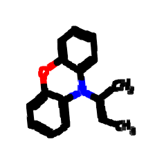 C/C=C(\C)N1c2ccccc2Oc2ccccc21